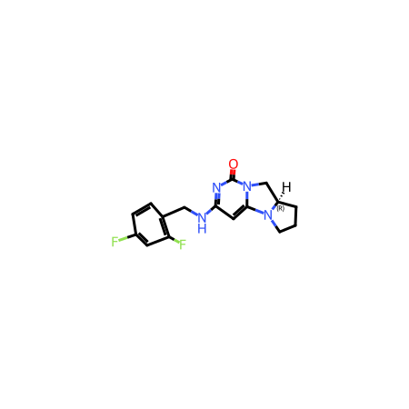 O=c1nc(NCc2ccc(F)cc2F)cc2n1C[C@H]1CCCN21